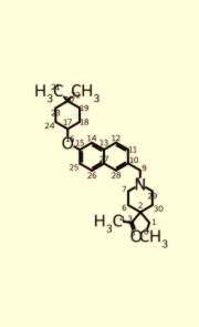 CCC1(C(C)=O)CCN(Cc2ccc3cc(OC4CCC(C)(C)CC4)ccc3c2)CC1